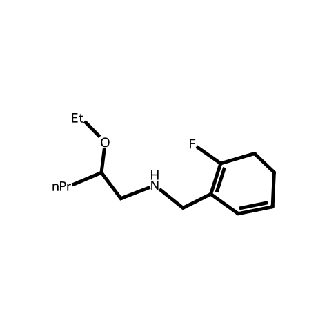 CCCC(CNCC1=C(F)CCC=C1)OCC